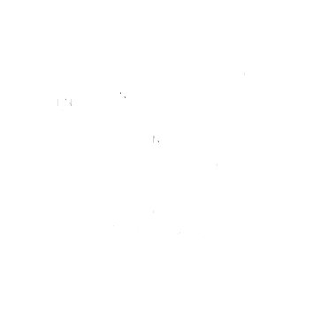 COc1ccc(C(=O)c2c(C)n(CCN3CCCC(N)C3)c3ccccc23)cc1.O=C(O)/C=C\C(=O)O